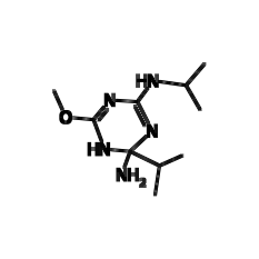 COC1=NC(NC(C)C)=NC(N)(C(C)C)N1